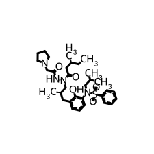 CC[C@H](C)CC(=O)N(C[C@H](C)Cc1cccc(N(CC(C)C)S(=O)(=O)c2ccccc2)c1O)NC(=O)CN1CCCC1